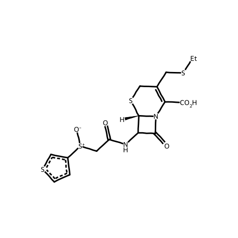 CCSCC1=C(C(=O)O)N2C(=O)C(NC(=O)C[S+]([O-])c3ccsc3)[C@@H]2SC1